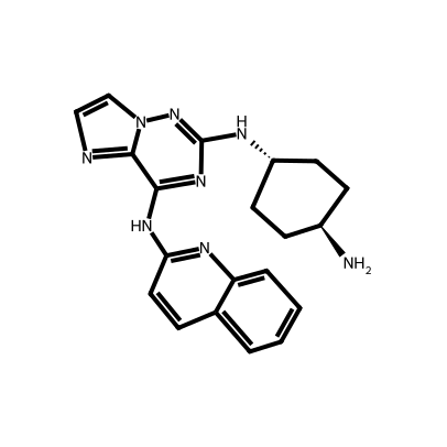 N[C@H]1CC[C@H](Nc2nc(Nc3ccc4ccccc4n3)c3nccn3n2)CC1